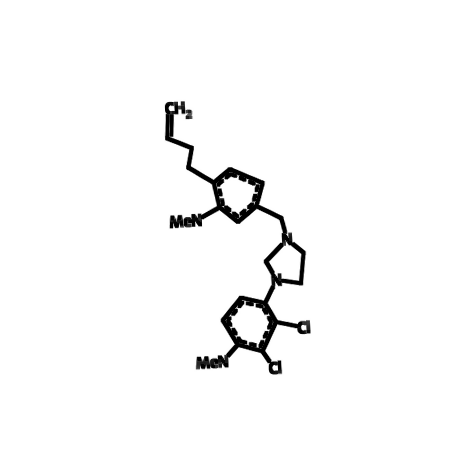 C=CCCc1ccc(CN2CCN(c3ccc(NC)c(Cl)c3Cl)C2)cc1NC